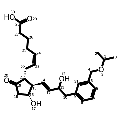 CC(C)OCc1cccc(CC(O)/C=C/[C@H]2[C@H](O)CC(=O)[C@@H]2C/C=C\CCCC(=O)O)c1